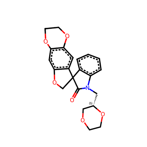 O=C1N(C[C@H]2COCCO2)c2ccccc2C12COc1cc3c(cc12)OCCO3